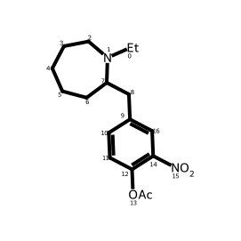 CCN1CCCCCC1Cc1ccc(OC(C)=O)c([N+](=O)[O-])c1